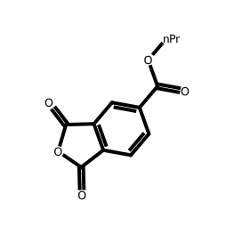 CCCOC(=O)c1ccc2c(c1)C(=O)OC2=O